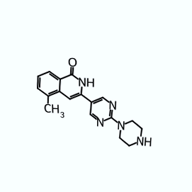 Cc1cccc2c(=O)[nH]c(-c3cnc(N4CCNCC4)nc3)cc12